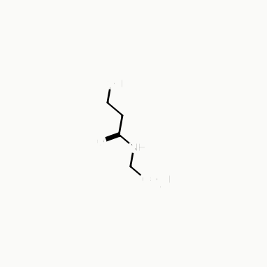 O=C(O)CNC(=O)CCO